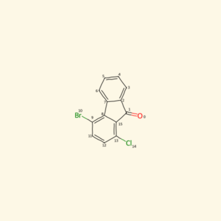 O=C1c2ccccc2-c2c(Br)ccc(Cl)c21